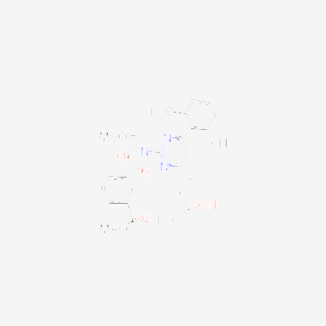 COCN(c1nc(CCC(C)O)cc(-c2c(C)cccc2C)n1)S(=O)(=O)c1cccc(C(=O)OC)c1